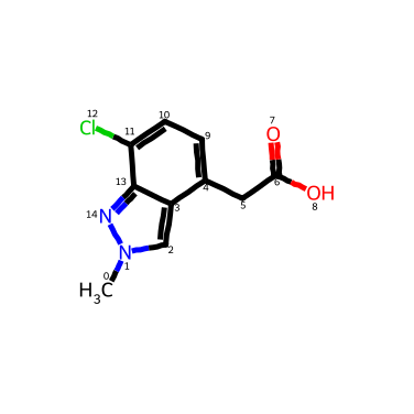 Cn1cc2c(CC(=O)O)ccc(Cl)c2n1